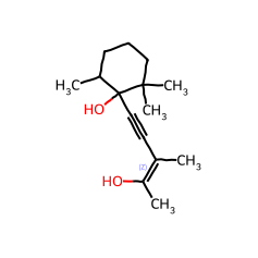 C/C(O)=C(\C)C#CC1(O)C(C)CCCC1(C)C